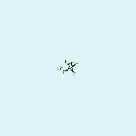 F[AsH-](F)(F)F.[Li+]